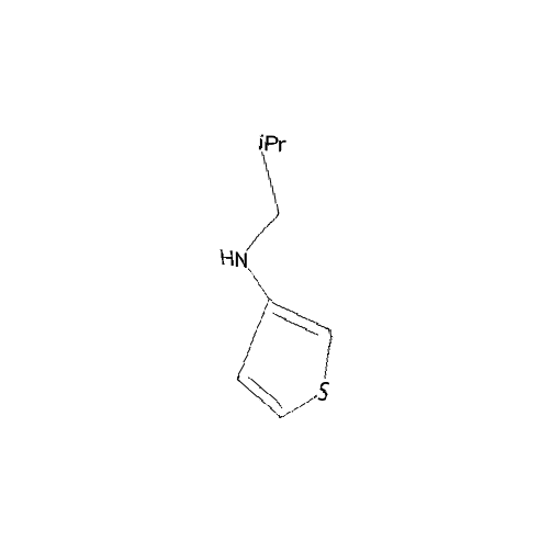 CC(C)CNc1ccsc1